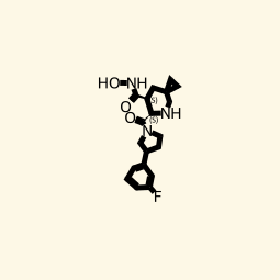 O=C(NO)[C@H]1CC2(CC2)CN[C@@H]1C(=O)N1CCC(c2cccc(F)c2)C1